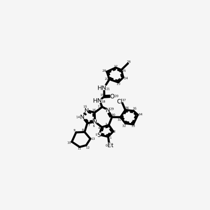 CCc1cc2c(s1)-n1c(C3CCCCC3)nnc1C(NC(=O)Nc1ccc(C)cc1)N=C2c1ccccc1Cl